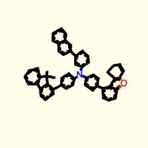 CC1(C)c2ccccc2-c2cccc(-c3ccc(N(c4ccc(-c5cccc6oc7c(c56)CCC=C7)cc4)c4cccc(-c5ccc6ccccc6c5)c4)cc3)c21